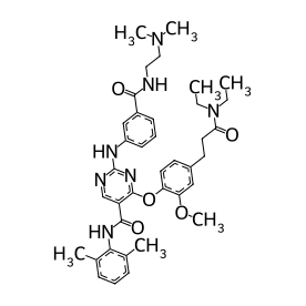 CCN(CC)C(=O)CCc1ccc(Oc2nc(Nc3cccc(C(=O)NCCN(C)C)c3)ncc2C(=O)Nc2c(C)cccc2C)c(OC)c1